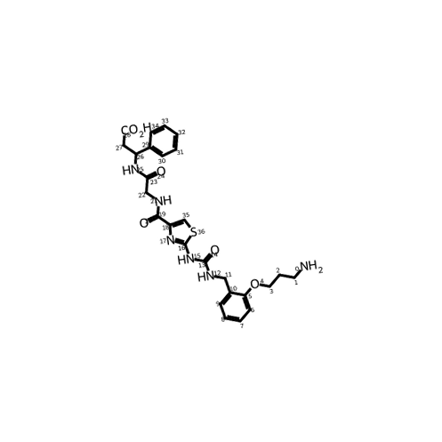 NCCCOc1ccccc1CNC(=O)Nc1nc(C(=O)NCC(=O)NC(CC(=O)O)c2ccccc2)cs1